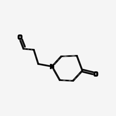 O=CCCN1CCC(=O)CC1